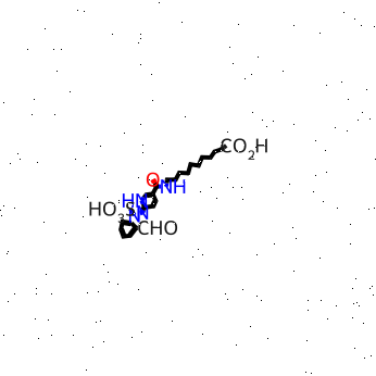 O=Cc1ccccc1N(N=c1ccc(C(=O)NCCCCCCCCCCC(=O)O)c[nH]1)S(=O)(=O)O